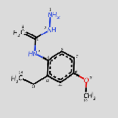 C=C(NN)Nc1ccc(OC)cc1CC